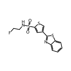 O=S(=O)(NCCF)c1cc(-c2nc3ccccc3s2)cs1